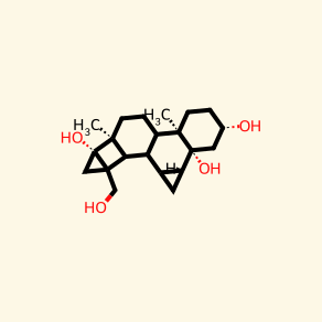 C[C@]12CCC3C(C4C[C@H]4[C@]4(O)C[C@@H](O)CC[C@]34C)C1C1(CO)C[C@]12O